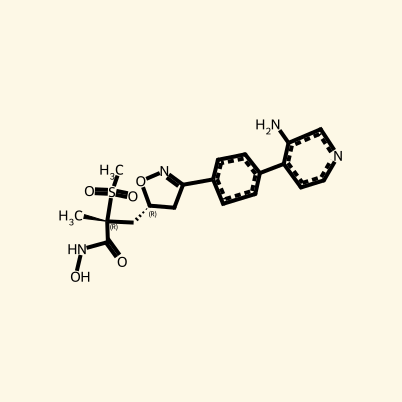 C[C@@](C[C@H]1CC(c2ccc(-c3ccncc3N)cc2)=NO1)(C(=O)NO)S(C)(=O)=O